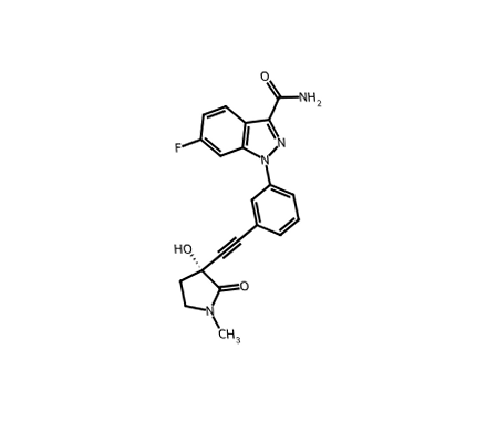 CN1CC[C@@](O)(C#Cc2cccc(-n3nc(C(N)=O)c4ccc(F)cc43)c2)C1=O